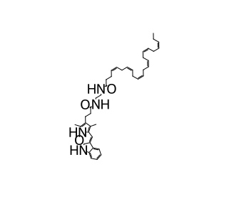 CC/C=C\C/C=C\C/C=C\C/C=C\C/C=C\C/C=C\CCC(=O)NCCNC(=O)CCc1c(C)[nH]c(/C=C2\C(=O)Nc3ccccc32)c1C